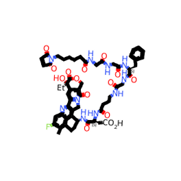 CC[C@@]1(O)C(=O)OCc2c1cc1n(c2=O)Cc2c-1nc1cc(F)c(C)c3c1c2[C@@H](NC(=O)[C@H](CC(=O)O)NC(=O)CCCNC(=O)CNC(=O)[C@H](Cc1ccccc1)NC(=O)CNC(=O)CNC(=O)CCCCCN1C(=O)C=CC1=O)CC3